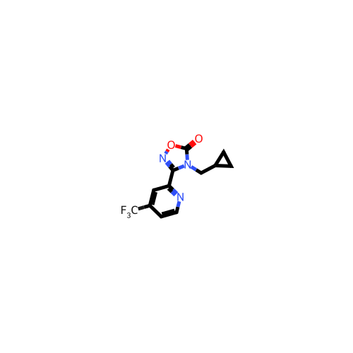 O=c1onc(-c2cc(C(F)(F)F)ccn2)n1CC1CC1